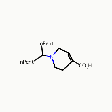 CCCCCC(CCCCC)N1CC=C(C(=O)O)CC1